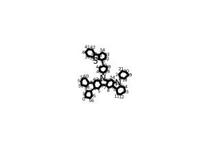 c1ccc(-c2cc3c4cc5c6ccccc6n(-c6ccccc6)c5cc4n(-c4ccc(-c5cccc6c5sc5ccccc56)cc4)c3cc2-c2ccccc2)cc1